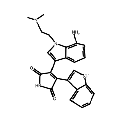 CN(C)CCn1cc(C2=C(c3c[nH]c4ccccc34)C(=O)NC2=O)c2cccc(N)c21